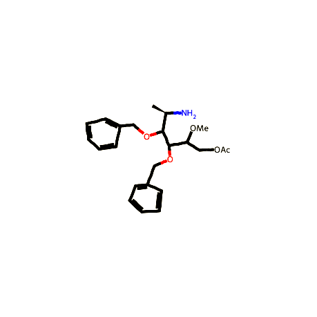 COC(COC(C)=O)C(OCc1ccccc1)C(OCc1ccccc1)[C@@H](C)N